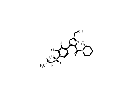 C[C@H](NS(=O)(=O)c1ccc(-c2sc(CO)nc2C(=O)N2CCCC[C@@H]2C)c(Cl)c1Cl)C(F)(F)F